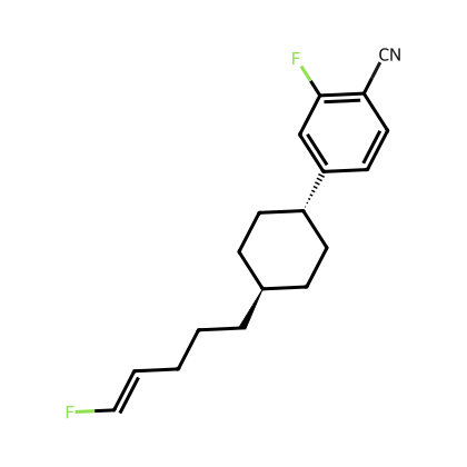 N#Cc1ccc([C@H]2CC[C@H](CCC/C=C/F)CC2)cc1F